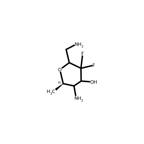 C[C@H]1OC(CN)C(F)(F)C(O)C1N